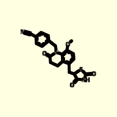 COc1ccc(CC2SC(=O)NC2=O)c2c1N(Cc1ccc(C#N)cc1)C(=O)CC2